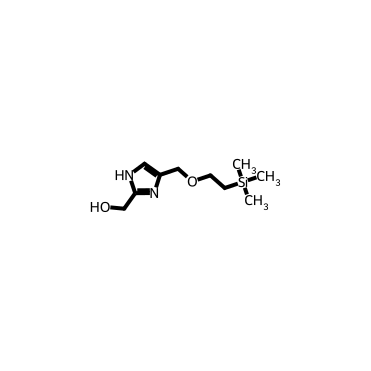 C[Si](C)(C)CCOCc1c[nH]c(CO)n1